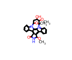 COC1NC(=O)c2c1c1c3ccccc3n3c1c1c2c2ccccc2n1C1CC(O)C(OC)C3(C)O1